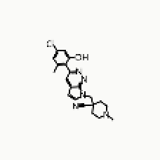 Cc1cc(Cl)cc(O)c1-c1cc2ccn(CC3(C#N)CCN(C)CC3)c2nn1